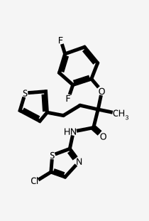 CC(CCc1ccsc1)(Oc1ccc(F)cc1F)C(=O)Nc1ncc(Cl)s1